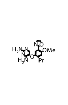 COc1cc(C(C)C)c(Oc2cnc(N)nc2N)cc1C1=NCCO1